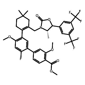 COC(=O)c1ccc(-c2cc(C3=C(CN4C(=O)OC(c5cc(C(F)(F)F)cc(C(F)(F)F)c5)[C@@H]4C)CC(C)(C)CC3)c(OC)cc2F)cc1OC